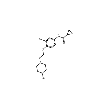 CC(=O)N1CCN(CCOc2ccc(NC(=O)C3CC3)cc2Br)CC1